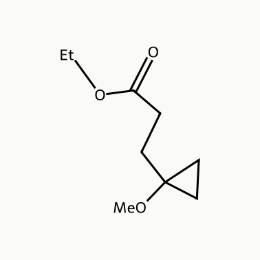 CCOC(=O)CCC1(OC)CC1